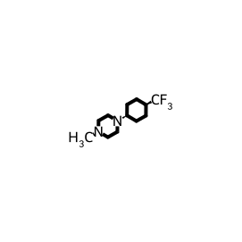 CN1CCN([C@H]2CC[C@H](C(F)(F)F)CC2)CC1